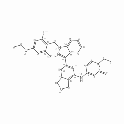 C=C/C=C(\C=C/C(C)CC)NC1=C2COCC2NC(c2nn(Cc3c(F)cc(OCC)cc3F)c3ccccc23)=N1